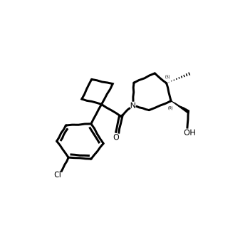 C[C@H]1CCN(C(=O)C2(c3ccc(Cl)cc3)CCC2)C[C@@H]1CO